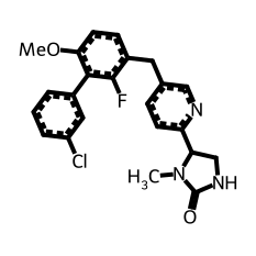 COc1ccc(Cc2ccc(C3CNC(=O)N3C)nc2)c(F)c1-c1cccc(Cl)c1